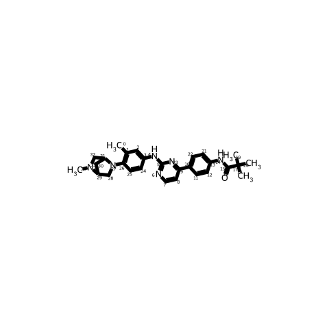 Cc1cc(Nc2nccc(-c3ccc(NC(=O)C(C)(C)C)cc3)n2)ccc1N1CC2CC1CN2C